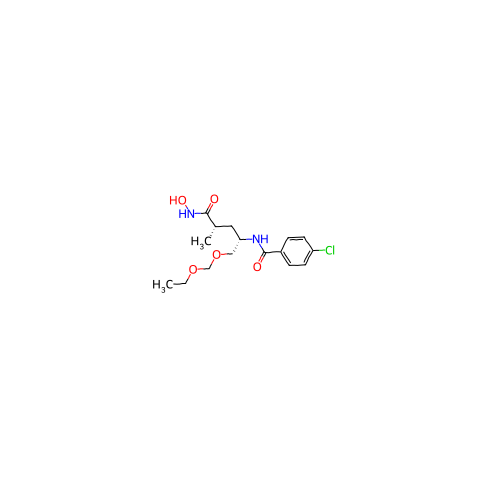 CCOCOC[C@H](C[C@H](C)C(=O)NO)NC(=O)c1ccc(Cl)cc1